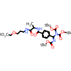 CC(NC(=O)c1ccc(C(=NC(=O)OC(C)(C)C)N(C(=O)OC(C)(C)C)C(=O)OC(C)(C)C)cc1)C(=O)NCCCOCC(=O)O